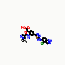 Cn1cc(C(=O)Nc2cc(-c3nnc(Nc4ccc5[nH]ncc5c4Cl)s3)ccc2CC(=O)O)cn1